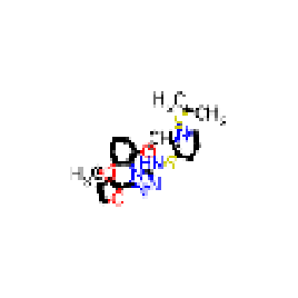 COc1cccc(OC)c1-n1c(NSC2CCCN(SC(C)C)C2)nnc1-c1ccco1